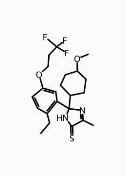 CCc1ccc(OCCC(F)(F)F)cc1C1(C2CCC(OC)CC2)N=C(C)C(=S)N1